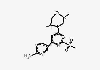 C[C@H]1CN(c2cc(-c3cnc(N)nc3)nc(S(C)(=O)=O)n2)[C@@H](C)CO1